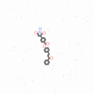 O=C1C=C(c2ccc(C(=O)Oc3ccc(C=CC(=O)c4ccccc4)cc3)cc2)C(=O)N1